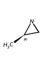 C[C@@H]1C[N]1